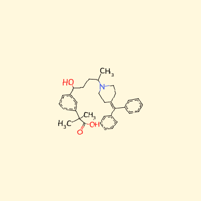 CC(CCC(O)c1cccc(C(C)(C)C(=O)O)c1)N1CCC(=C(c2ccccc2)c2ccccc2)CC1